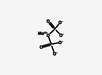 O=P([O-])([O-])OP(=O)([O-])[O-].[Mo+4]